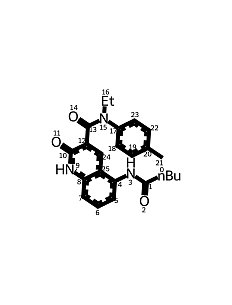 CCCCC(=O)Nc1cccc2[nH]c(=O)c(C(=O)N(CC)c3ccc(C)cc3)cc12